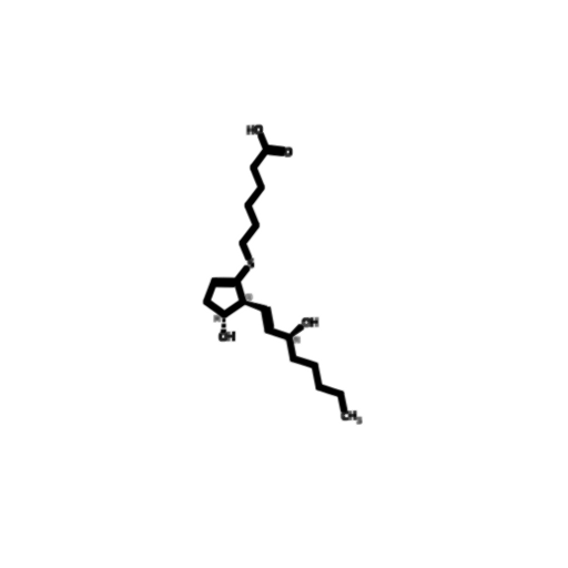 CCCCC[C@H](O)C=C[C@@H]1C(SCCCCCC(=O)O)=CC[C@H]1O